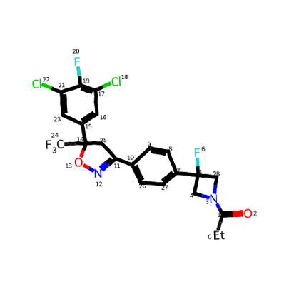 CCC(=O)N1CC(F)(c2ccc(C3=NOC(c4cc(Cl)c(F)c(Cl)c4)(C(F)(F)F)C3)cc2)C1